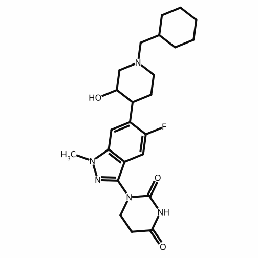 Cn1nc(N2CCC(=O)NC2=O)c2cc(F)c(C3CCN(CC4CCCCC4)CC3O)cc21